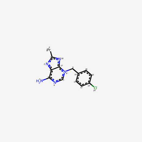 CC(C)c1nc2c(N)ncn(Cc3ccc(Cl)cc3)c-2n1